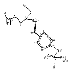 CCC(CCNC)OCc1ccc(OC(C)(F)P)cc1